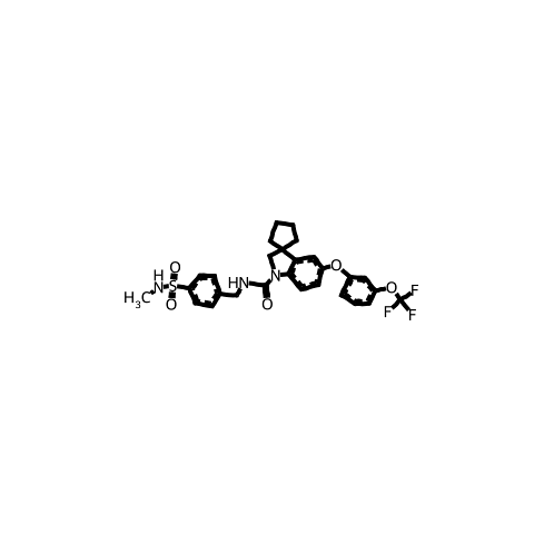 CNS(=O)(=O)c1ccc(CNC(=O)N2CC3(CCCC3)c3cc(Oc4cccc(OC(F)(F)F)c4)ccc32)cc1